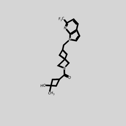 CC1(O)CC(C(=O)N2CC3(CC(Cn4ccc5ccc(C(F)(F)F)nc54)C3)C2)C1